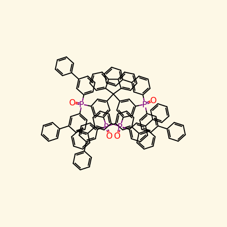 O=P(c1cccc(-c2ccccc2)c1)(c1cccc(-c2ccccc2)c1)c1cc(C2(c3cc(P(=O)(c4cccc(-c5ccccc5)c4)c4cccc(-c5ccccc5)c4)cc(P(=O)(c4cccc(-c5ccccc5)c4)c4cccc(-c5ccccc5)c4)c3)c3ccccc3-c3ccccc32)cc(P(=O)(c2cccc(-c3ccccc3)c2)c2cccc(-c3ccccc3)c2)c1